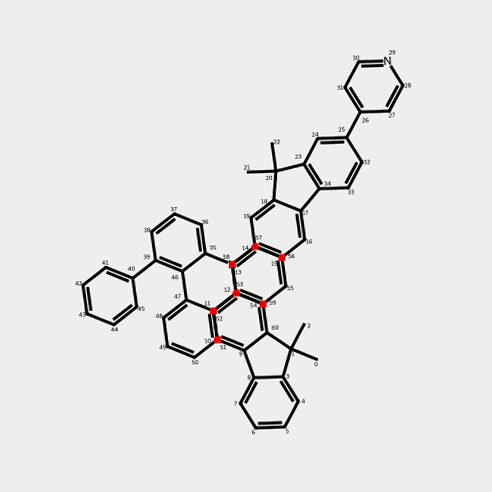 CC1(C)c2ccccc2-c2ccc(N(c3ccc4c(c3)C(C)(C)c3cc(-c5ccncc5)ccc3-4)c3cccc(-c4ccccc4)c3-c3ccccc3-c3ccccc3)cc21